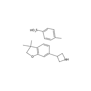 CC1(C)COc2cc(C3CNC3)ccc21.Cc1ccc(S(=O)(=O)O)cc1